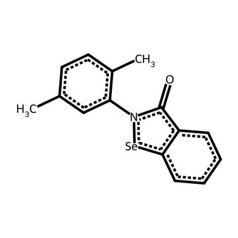 Cc1ccc(C)c(-n2[se]c3ccccc3c2=O)c1